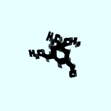 CCC1=CC(C)(C)CC(CCl)=C1